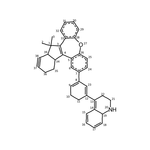 CC1(C)C2=C(c3cc(C4=CCCC(C5=C6C=CC=CC6NCC5)=C4)ccc3Oc3ccccc32)C2CCC#CC21